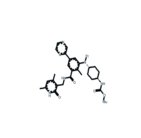 CCN(c1cc(-c2cnccn2)cc(C(=O)NCc2c(C)cc(C)[nH]c2=O)c1C)[C@H]1CC[C@H](NC(=O)OC(C)(C)C)CC1